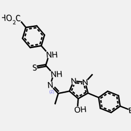 CCc1ccc(-c2c(O)c(/C(C)=N\NC(=S)Nc3ccc(C(=O)O)cc3)nn2C)cc1